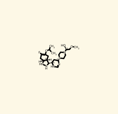 COC[C@H](O)N1CCN([C@@H]2C[C@H](C3NN[C@@H]4CC(F)=C(OC(C)C)C[C@H]34)NC=N2)CC1